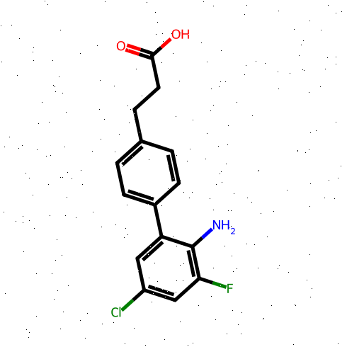 Nc1c(F)cc(Cl)cc1-c1ccc(CCC(=O)O)cc1